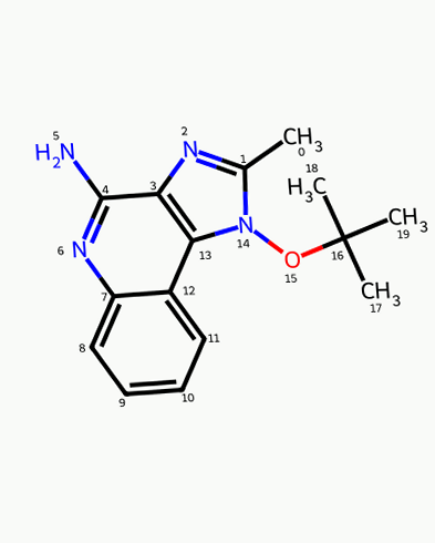 Cc1nc2c(N)nc3ccccc3c2n1OC(C)(C)C